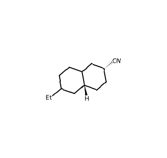 CCC1CCC2C[C@H](C#N)CC[C@@H]2C1